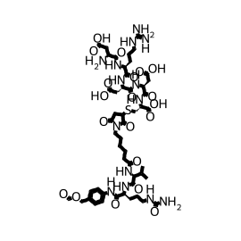 CC(C)[C@H](NC(=O)CCCCCN1C(=O)CC(SC[C@H](NC(=O)[C@H](CC(=O)O)NC(=O)[C@H](CC(=O)O)NC(=O)[C@H](CCCNC(=N)N)NC(=O)[C@@H](N)CC(=O)O)C(=O)O)C1=O)C(=O)N[C@@H](CCCNC(N)=O)C(=O)Nc1ccc(COC=O)cc1